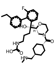 CCc1cccc(-c2c(F)cccc2[C@](O)(CCCNC(=O)O)[C@H]2CN(C(=O)[C@H]3CC[C@H](CNC)CC3)CCO2)c1